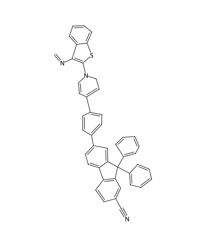 C=Nc1c(N2C=CC(c3ccc(-c4ccc5c(c4)C(c4ccccc4)(c4ccccc4)c4cc(C#N)ccc4-5)cc3)=CC2)sc2ccccc12